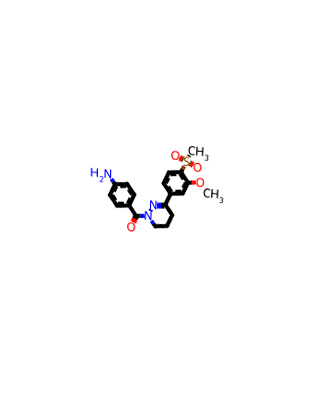 COc1cc(C2=NN(C(=O)c3ccc(N)cc3)CCC2)ccc1S(C)(=O)=O